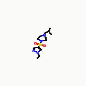 CCn1cc(S(=O)(=O)N2CCN(CC(C)C)CC2)cn1